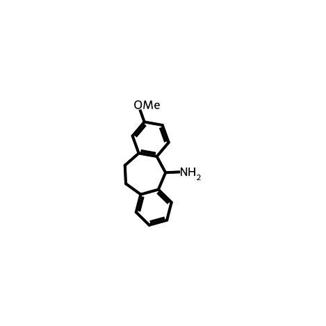 COc1ccc2c(c1)CCc1ccccc1C2N